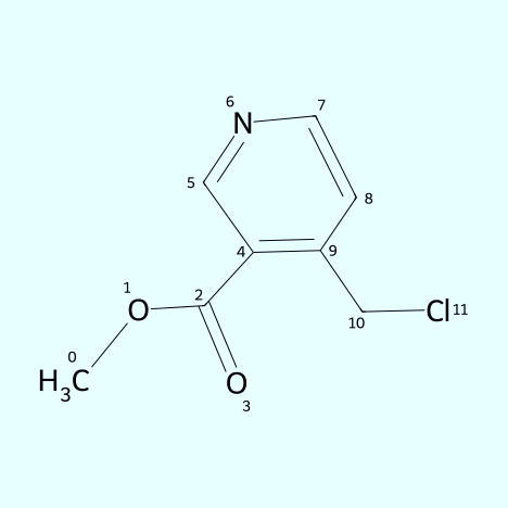 COC(=O)c1cnccc1CCl